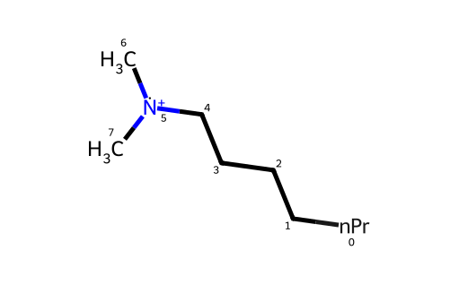 CCCCCCC[N+](C)C